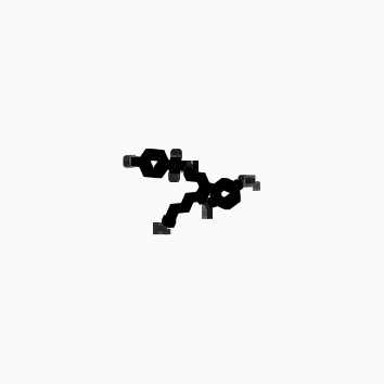 C#CCCCc1[nH]c2ccc(C)cc2c1CCNS(=O)(=O)c1ccc(Cl)cc1